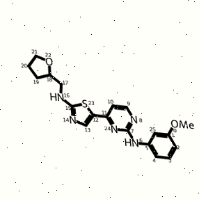 COc1cccc(Nc2nccc(-c3cnc(NCC4CCCO4)s3)n2)c1